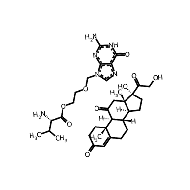 CC(C)[C@H](N)C(=O)OCCOCn1cnc2c(=O)[nH]c(N)nc21.C[C@]12CCC(=O)C=C1CC[C@@H]1[C@@H]2C(=O)C[C@@]2(C)[C@H]1CC[C@]2(O)C(=O)CO